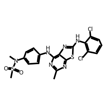 Cc1nc(Nc2ccc(N(C)S(C)(=O)=O)cc2)c2nc(Nc3c(Cl)cccc3Cl)sc2n1